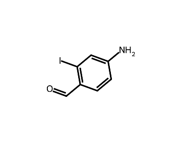 Nc1ccc(C=O)c(I)c1